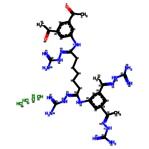 CC(=O)c1cc(NC(CCCCCC(=NNC(=N)N)Nc2cc(C(C)=NNC(=N)N)cc(C(C)=NNC(=N)N)c2)=NNC(=N)N)cc(C(C)=O)c1.Cl.Cl.Cl.Cl